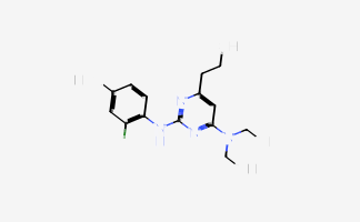 CCCc1cc(N(CC)CC)nc(Nc2ccc(C)cc2Cl)n1